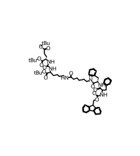 CC(C)(C)OC(=O)CC[C@H](NC(=O)NC(CCCCNC(=O)CCCCCNC(=O)[C@@H](Cc1ccccc1)NC(=O)C(Cc1ccccc1)NC(=O)OCC1c2ccccc2-c2ccccc21)C(=O)OC(C)(C)C)C(=O)OC(C)(C)C